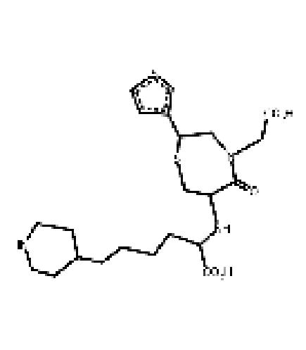 O=C(O)CN1CC(c2ccsc2)SCC(NC(CCCCC2CCNCC2)C(=O)O)C1=O